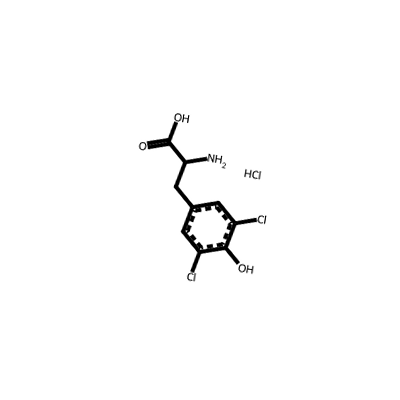 Cl.NC(Cc1cc(Cl)c(O)c(Cl)c1)C(=O)O